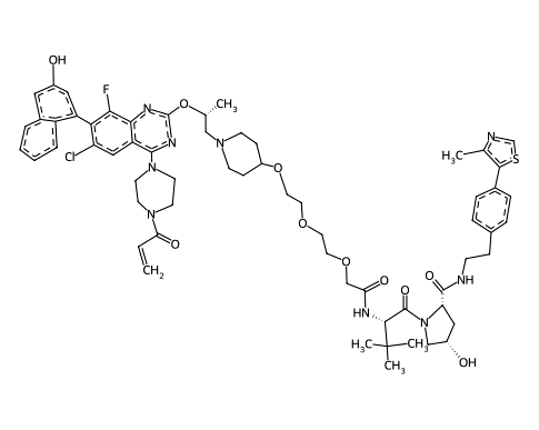 C=CC(=O)N1CCN(c2nc(O[C@H](C)CN3CCC(OCCOCCOCC(=O)N[C@H](C(=O)N4C[C@@H](O)C[C@H]4C(=O)NCCc4ccc(-c5scnc5C)cc4)C(C)(C)C)CC3)nc3c(F)c(-c4cc(O)cc5ccccc45)c(Cl)cc23)CC1